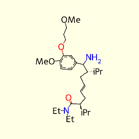 CCN(CC)C(=O)[C@@H](C/C=C/C[C@@H](C(C)C)C(N)c1ccc(OC)c(OCCCOC)c1)C(C)C